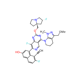 C#Cc1c(F)ccc2cc(O)cc(-c3ncc4c(N5CCCc6c(COC)nn(C)c65)nc(OC[C@@]56CCCN5C[C@H](F)C6)nc4c3F)c12